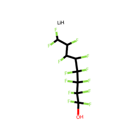 OC(F)(F)C(F)(F)C(F)(F)C(F)(F)C(F)C(F)C(F)C(F)F.[LiH]